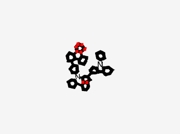 c1ccc(-c2ccccc2-c2c(-c3ccccc3)cccc2-c2ccc(N(c3cccc(-c4ccc5c(c4)c4ccccc4n5-c4ccccc4)c3)c3ccccc3-c3ccccc3)cc2)cc1